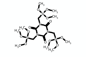 CO[Si](Cn1c(=O)n(C[Si](OC)(OC)OC)c(=O)n(C[Si](OC)(OC)OC)c1=O)(OC)OC